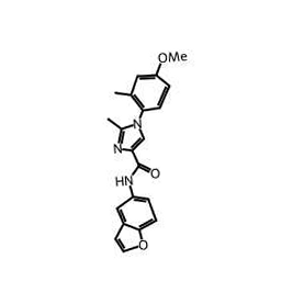 COc1ccc(-n2cc(C(=O)Nc3ccc4occc4c3)nc2C)c(C)c1